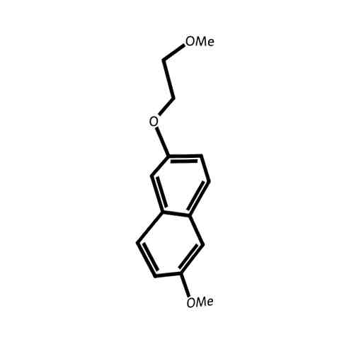 COCCOc1ccc2cc(OC)ccc2c1